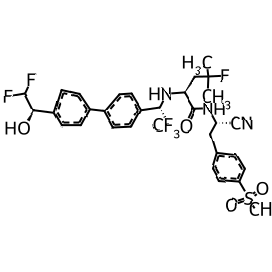 CC(C)(F)C[C@H](N[C@@H](c1ccc(-c2ccc([C@@H](O)C(F)F)cc2)cc1)C(F)(F)F)C(=O)N[C@H](C#N)Cc1ccc(S(C)(=O)=O)cc1